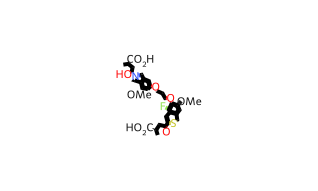 COc1cc2c(cc1OCCCOc1c(OC)cc3c(c1F)C=C(C(=O)C[C@H](C)C(=O)O)SC3)CN(C(O)C[C@H](C)C(=O)O)C2